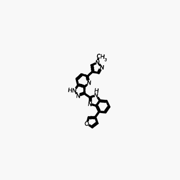 Cn1cc(-c2ccc3[nH]nc(-c4nc5c(-c6ccoc6)cccc5[nH]4)c3n2)cn1